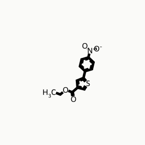 CCOC(=O)c1csc(-c2ccc([N+](=O)[O-])cc2)c1